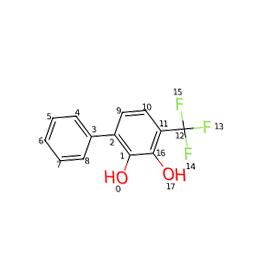 Oc1c(-c2ccccc2)ccc(C(F)(F)F)c1O